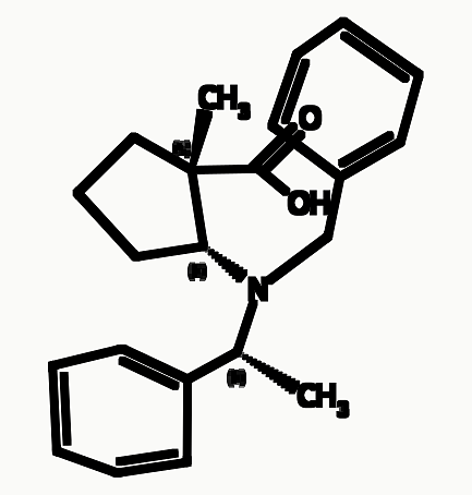 C[C@H](c1ccccc1)N(Cc1ccccc1)[C@@H]1CCC[C@]1(C)C(=O)O